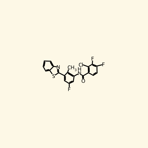 Cc1c(NC(=O)c2ccc(F)c(F)c2Cl)cc(F)cc1-c1nc2ccccc2s1